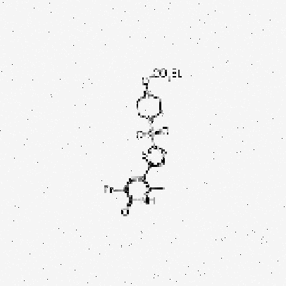 CCOC(=O)ON1CCN(S(=O)(=O)c2ccc(-c3cc(CC)c(=O)[nH]c3C)s2)CC1